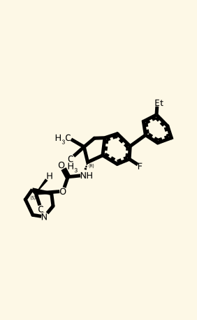 CCc1cccc(-c2cc3c(cc2F)[C@H](NC(=O)O[C@@H]2CN4CCC2CC4)C(C)(C)C3)c1